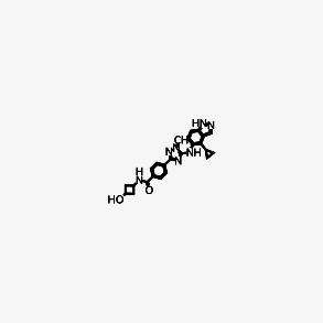 Cn1nc(-c2ccc(C(=O)NC3CC(O)C3)cc2)nc1Nc1ccc2[nH]ncc2c1C1CC1